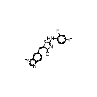 Cn1cnc2ccc(C=C3SC(Nc4ccc(F)cc4F)=NC3=O)cc21